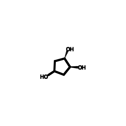 OC1C[C@H](O)[C@@H](O)C1